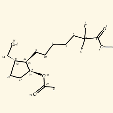 COC(=O)C(F)(F)CCCCC[C@@H]1[C@@H](CO)CC[C@@H]1OC(C)=O